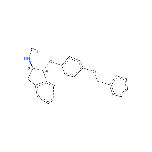 CN[C@@H]1Cc2ccccc2[C@H]1Oc1ccc(OCc2ccccc2)cc1